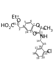 CCO[C@H](Cc1ccc(OC(C)C(=O)NCCc2ccccc2Cl)cc1)C(=O)O